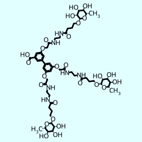 C[C@@H]1O[C@@H](OCCCC(=O)NCCNC(=O)COc2cc(OCC(=O)NCCNC(=O)CCCO[C@@H]3O[C@@H](C)[C@H](O)[C@@H](O)[C@H]3O)cc(-c3cc(OCC(=O)NCCNC(=O)CCCO[C@@H]4O[C@@H](C)[C@H](O)[C@@H](O)[C@H]4O)cc(C(=O)O)c3)c2)[C@H](O)[C@H](O)[C@H]1O